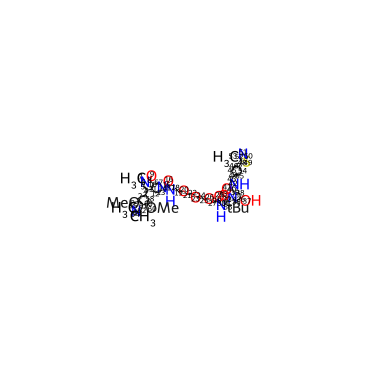 COc1cc(-c2cn(C)c(=O)c3c2CCN(C(=O)NCCOCCOCCOCC(=O)NC(C(=O)N2C[C@@H](O)C[C@@H]2C(=O)NCc2ccc(-c4scnc4C)cc2)C(C)(C)C)C3)cc(OC)c1CN(C)C